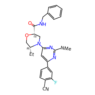 CC[C@@H]1CO[C@H](C(=O)NCc2ccccc2)CN1c1cc(-c2ccc(C#N)c(F)c2)nc(NC)n1